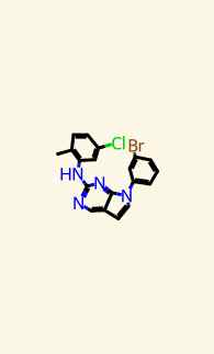 Cc1ccc(Cl)cc1Nc1ncc2ccn(-c3cccc(Br)c3)c2n1